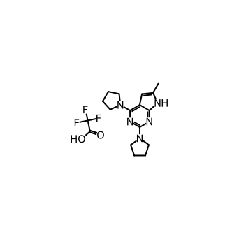 Cc1cc2c(N3CCCC3)nc(N3CCCC3)nc2[nH]1.O=C(O)C(F)(F)F